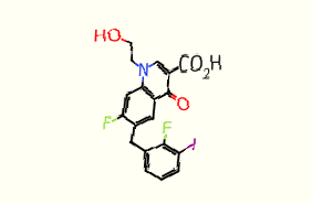 O=C(O)c1cn(CCO)c2cc(F)c(Cc3cccc(I)c3F)cc2c1=O